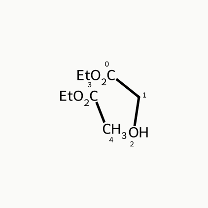 CCOC(=O)CO.CCOC(C)=O